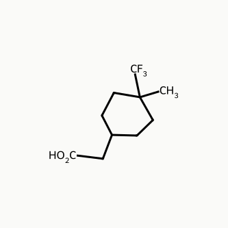 CC1(C(F)(F)F)CCC(CC(=O)O)CC1